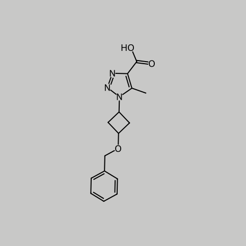 Cc1c(C(=O)O)nnn1C1CC(OCc2ccccc2)C1